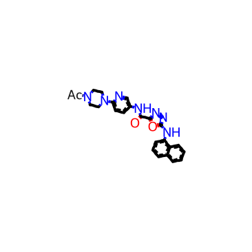 CC(=O)N1CCN(c2ccc(NC(=O)c3nnc(Nc4cccc5ccccc45)o3)cn2)CC1